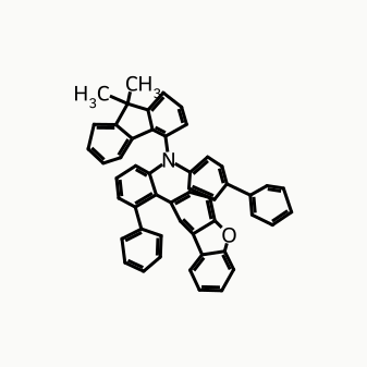 CC1(C)c2ccccc2-c2c(N(c3ccc(-c4ccccc4)cc3)c3cccc(-c4ccccc4)c3-c3ccc4oc5ccccc5c4c3)cccc21